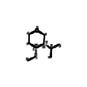 CC[C@@H]1CCOC[C@@H]1C(C)C